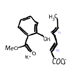 C/C=C/C=C/C(=O)[O-].COC(=O)c1ccccc1O.[K+]